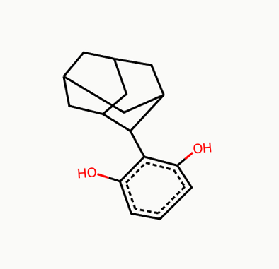 Oc1cccc(O)c1C1C2CC3CC(C2)CC1C3